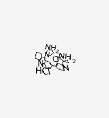 Cl.NC(=O)C1(c2cc(-c3ccc4nc5c(c(N6CCCC(N)C6)c4c3)CCCC5)ccn2)CC1